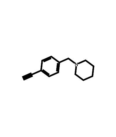 C#Cc1ccc(CN2CCCCC2)cc1